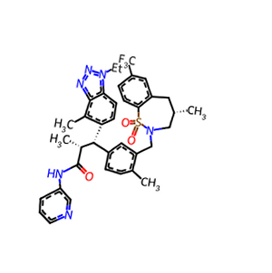 CCn1nnc2c(C)c([C@H](c3ccc(C)c(CN4C[C@@H](C)Cc5cc(C(F)(F)F)ccc5S4(=O)=O)c3)[C@@H](C)C(=O)Nc3cccnc3)ccc21